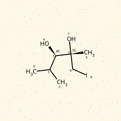 CC(C)[C@@H](O)[C@](C)(O)CI